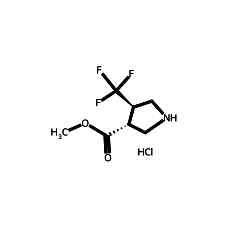 COC(=O)[C@H]1CNC[C@@H]1C(F)(F)F.Cl